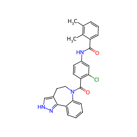 Cc1cccc(C(=O)Nc2ccc(C(=O)N3CCc4c[nH]nc4-c4ccccc43)c(Cl)c2)c1C